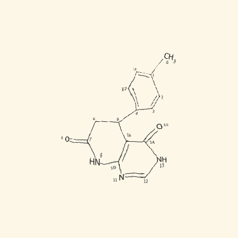 Cc1ccc(C2CC(=O)Nc3nc[nH]c(=O)c32)cc1